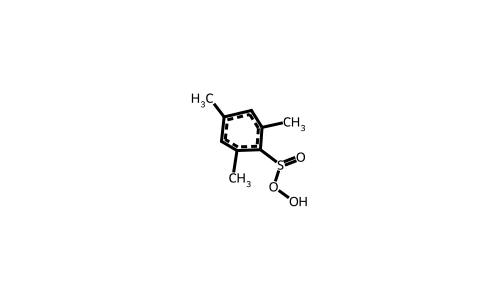 Cc1cc(C)c(S(=O)OO)c(C)c1